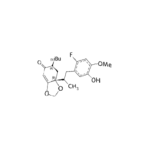 CC[C@H](C)[C@H]1C[C@]2(C(C)Cc3cc(O)c(OC)cc3F)OCOC2=CC1=O